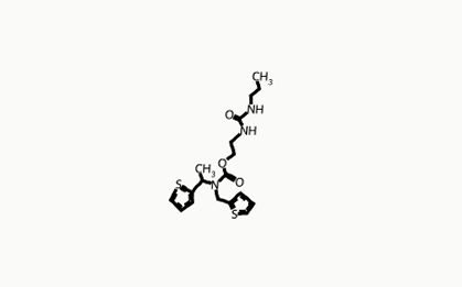 CCCNC(=O)NCCOC(=O)N(Cc1cccs1)C(C)c1cccs1